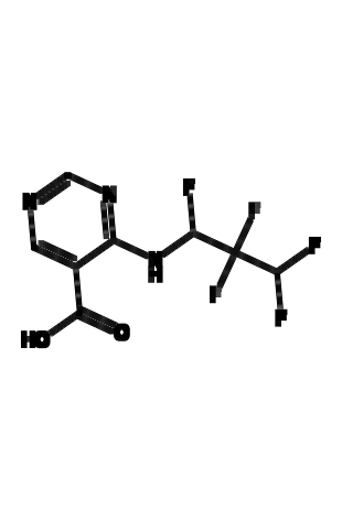 O=C(O)c1cncnc1NC(F)C(F)(F)C(F)F